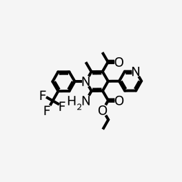 CCOC(=O)C1=C(N)N(c2cccc(C(F)(F)F)c2)C(C)=C(C(C)=O)C1c1cccnc1